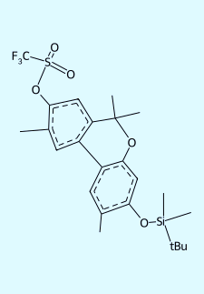 Cc1cc2c(cc1O[Si](C)(C)C(C)(C)C)OC(C)(C)c1cc(OS(=O)(=O)C(F)(F)F)c(C)cc1-2